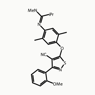 CNC(=Nc1cc(C)c(Oc2snc(-c3ccccc3OC)c2C#N)cc1C)C(C)C